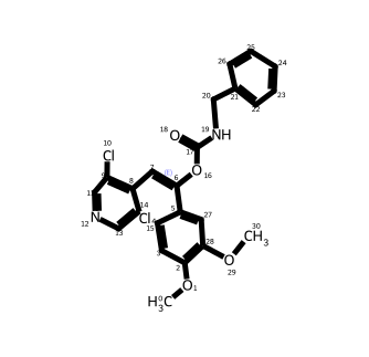 COc1ccc(/C(=C\c2c(Cl)cncc2Cl)OC(=O)NCc2ccccc2)cc1OC